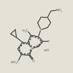 Cc1c(N2CCC(CN)CC2)c(F)cn2c(=O)c(C(=O)O)cc(C3CC3)c12.Cl